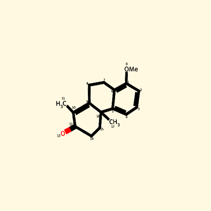 COc1cccc2c1CCC1=C(C)C(=O)CCC12C